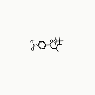 CCC(C)CC(O[Si](C)(C)C(C)(C)C)c1ccc([N+](=O)[O-])cc1